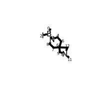 CB(I)N1CCC2(CC1)CN(C)C2